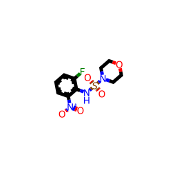 O=[N+]([O-])c1cccc(F)c1NS(=O)(=O)N1CCOCC1